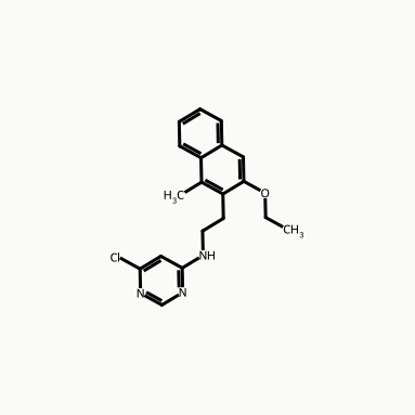 CCOc1cc2ccccc2c(C)c1CCNc1cc(Cl)ncn1